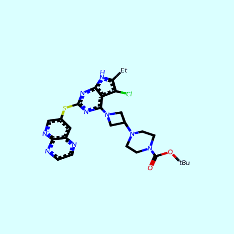 CCc1[nH]c2nc(Sc3cnc4nccnc4c3)nc(N3CC(N4CCN(C(=O)OC(C)(C)C)CC4)C3)c2c1Cl